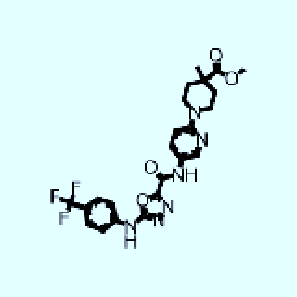 COC(=O)C1(C)CCN(c2ccc(NC(=O)c3nnc(Nc4ccc(C(F)(F)F)cc4)o3)cn2)CC1